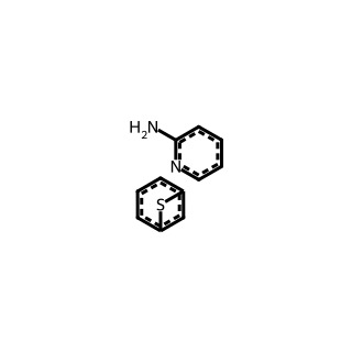 Nc1ccccn1.c1cc2cc(c1)S2